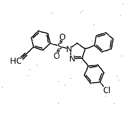 C#Cc1cccc(S(=O)(=O)N2CC(c3ccccc3)C(c3ccc(Cl)cc3)=N2)c1